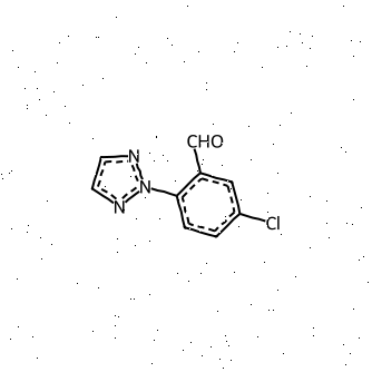 O=Cc1cc(Cl)ccc1-n1nccn1